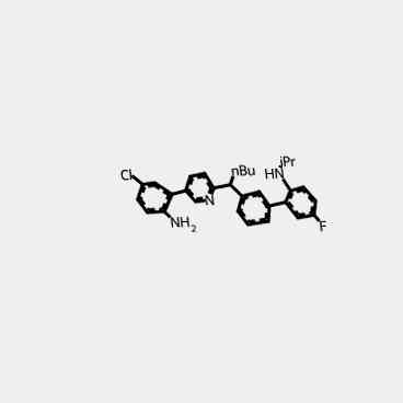 CCCCC(c1cccc(-c2cc(F)ccc2NC(C)C)c1)c1ccc(-c2cc(Cl)ccc2N)cn1